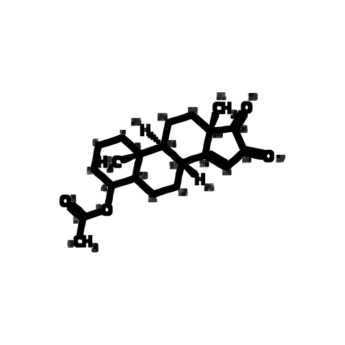 CC(=O)OC1CCC[C@@]2(C)C1CC[C@H]1C3=CC(=O)C(=O)[C@@]3(C)CC[C@@H]12